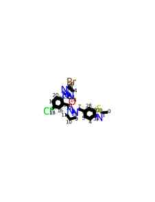 Cc1nc2ccc(CN3CCCN3C(=O)c3cc(Cl)ccc3-n3ncc(Br)n3)cc2s1